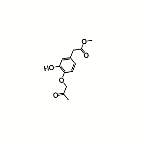 COC(=O)Cc1ccc(OCC(C)=O)c(O)c1